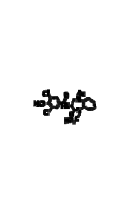 CC(=O)N1C[C@H](NC(=O)c2cc(Cl)c(O)c(Cl)c2)C(=O)N(CC(=O)O)c2ccccc21